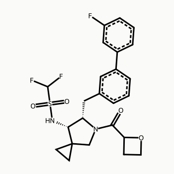 O=C(C1CCO1)N1CC2(CC2)[C@H](NS(=O)(=O)C(F)F)[C@@H]1Cc1cccc(-c2cccc(F)c2)c1